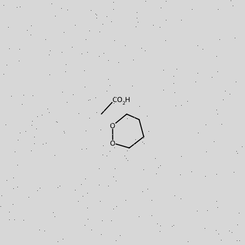 C1CCOOC1.CC(=O)O